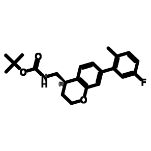 Cc1ccc(F)cc1-c1ccc2c(c1)OCC[C@H]2CNC(=O)OC(C)(C)C